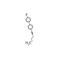 CCCCC#Cc1ccc(-c2ccc(F)cc2)cc1